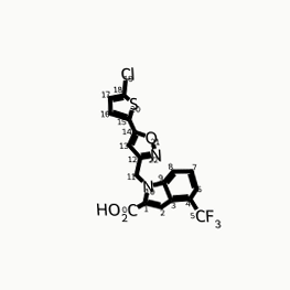 O=C(O)c1cc2c(C(F)(F)F)cccc2n1Cc1cc(-c2ccc(Cl)s2)on1